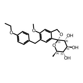 CCOc1ccc(Cc2cc3c(cc2OC)CO[C@]32O[C@H](C)[C@@H](O)[C@H](O)[C@H]2O)cc1